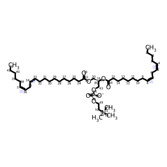 CCCC/C=C\C/C=C\CCCCCCCC(=O)O[C@H](COC(=O)CCCCCCCCC/C=C\C/C=C\CCCCC)COP(=O)([O-])OCC[N+](C)(C)C